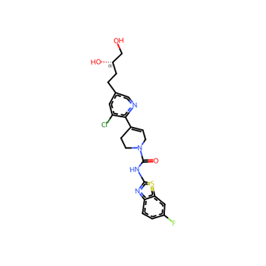 O=C(Nc1nc2ccc(F)cc2s1)N1CC=C(c2ncc(CC[C@H](O)CO)cc2Cl)CC1